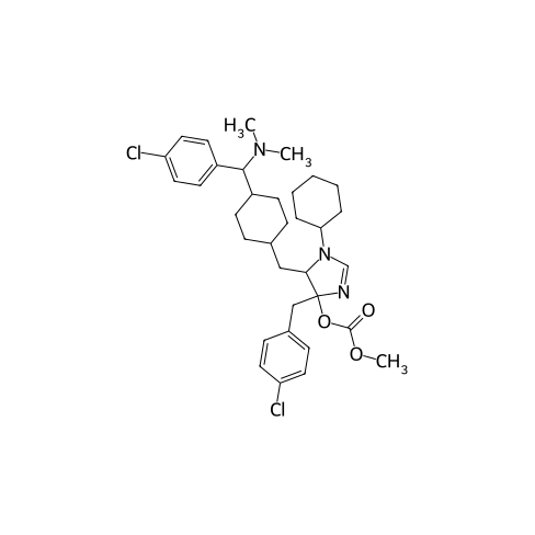 COC(=O)OC1(Cc2ccc(Cl)cc2)N=CN(C2CCCCC2)C1CC1CCC(C(c2ccc(Cl)cc2)N(C)C)CC1